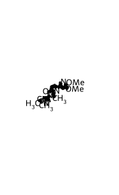 COc1cc(-c2ccc3c(n2)C(C)N(c2cnn(C(C)(C)C#N)c2)C3=O)cnc1OC